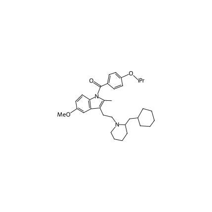 COc1ccc2c(c1)c(CCN1CCCCC1CC1CCCCC1)c(C)n2C(=O)c1ccc(OC(C)C)cc1